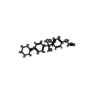 CCCCOc1ccc(C(CC)(C(=O)O)c2ccc(N3CCCCC3)cc2)cc1